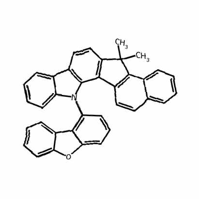 CC1(C)c2ccc3c4ccccc4n(-c4cccc5oc6ccccc6c45)c3c2-c2ccc3ccccc3c21